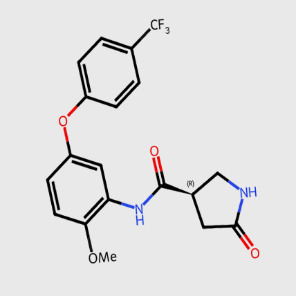 COc1ccc(Oc2ccc(C(F)(F)F)cc2)cc1NC(=O)[C@H]1CNC(=O)C1